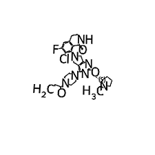 C=CC(=O)N1CCN(c2nc(OC[C@@H]3CCCN3C)nc3c2CN(c2c(Cl)c(F)cc4c2C(=O)NCC4)C3)CC1